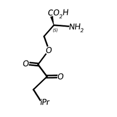 CC(C)CC(=O)C(=O)OC[C@H](N)C(=O)O